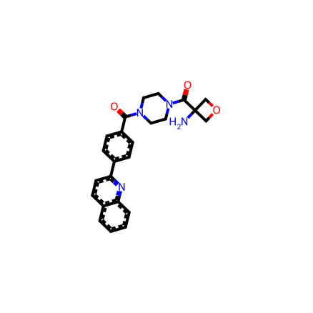 NC1(C(=O)N2CCN(C(=O)c3ccc(-c4ccc5ccccc5n4)cc3)CC2)COC1